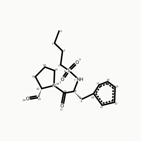 CCCCS(=O)(=O)N[C@H](Cc1ccccc1)C(=O)N1CCC[C@H]1[C]=O